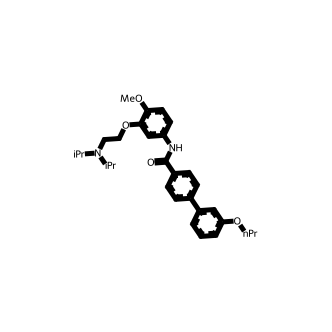 CCCOc1cccc(-c2ccc(C(=O)Nc3ccc(OC)c(OCCN(C(C)C)C(C)C)c3)cc2)c1